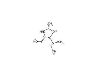 C=C1N[C@H](CO)C(C(C)CO)O1